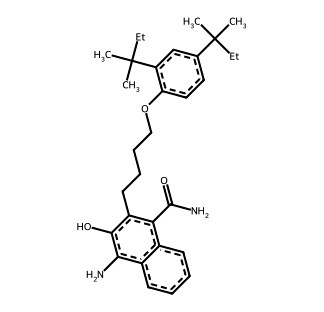 CCC(C)(C)c1ccc(OCCCCc2c(O)c(N)c3ccccc3c2C(N)=O)c(C(C)(C)CC)c1